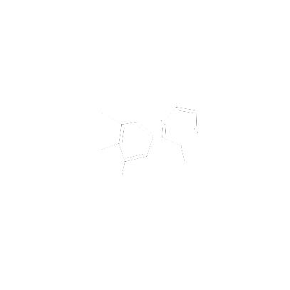 O=C(O)c1cccc(F)c1F.O=C(O)c1cnccn1